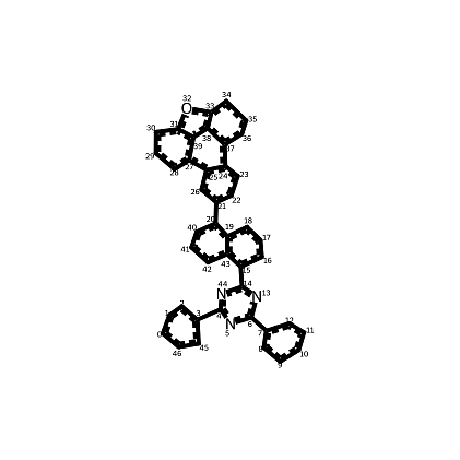 c1ccc(-c2nc(-c3ccccc3)nc(-c3cccc4c(-c5ccc6c(c5)c5cccc7oc8cccc6c8c75)cccc34)n2)cc1